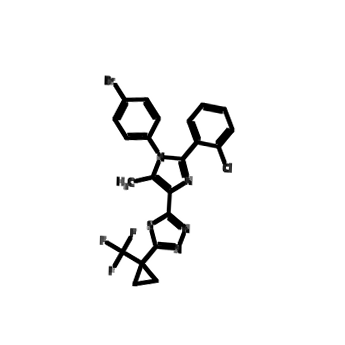 Cc1c(-c2nnc(C3(C(F)(F)F)CC3)s2)nc(-c2ccccc2Cl)n1-c1ccc(Br)cc1